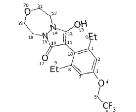 CCc1cc(OCC(F)(F)F)cc(CC)c1-c1c(O)n2n(c1=O)CCOCC2